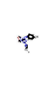 Cc1ccn(-c2nc(NC3CCC(C#N)CC3)cc(N3CCOCC3)n2)n1